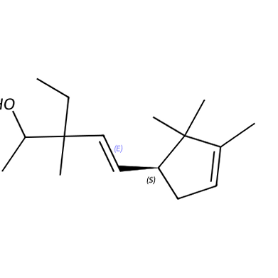 CCC(C)(/C=C/[C@@H]1CC=C(C)C1(C)C)C(C)O